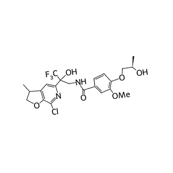 COc1cc(C(=O)NCC(O)(c2cc3c(c(Cl)n2)OCC3C)C(F)(F)F)ccc1OC[C@@H](C)O